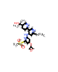 CC(=O)Nc1cc(Nc2cc(OC3COC3)cc(S(C)(=O)=O)n2)c(-c2ccc(C(C)(C)O)cn2)cn1